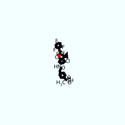 CC(c1ccc(CC(=O)Nc2cc(Cl)c(C3(c4noc(-c5c(F)cc(F)cc5F)n4)CC3)c(Cl)c2)cc1)[SH](=O)=O